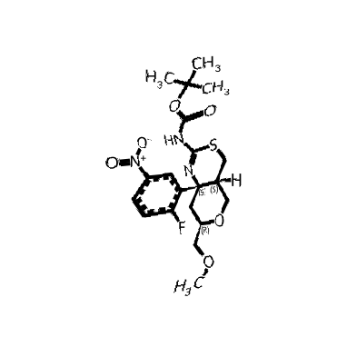 COC[C@H]1C[C@]2(c3cc([N+](=O)[O-])ccc3F)N=C(NC(=O)OC(C)(C)C)SC[C@@H]2CO1